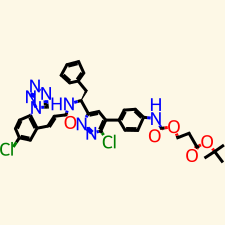 CC(C)(C)OC(=O)CCOC(=O)Nc1ccc(-c2cc([C@H](Cc3ccccc3)NC(=O)C=Cc3cc(Cl)ccc3-n3cnnn3)nnc2Cl)cc1